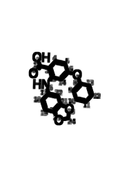 O=C(O)c1ccc(Oc2ccccc2)cc1Nc1ccc2c(c1)OCO2